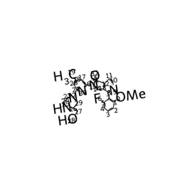 COc1cccc(F)c1-c1nccc2c1CN(c1cc(C)cc(N3CCNC(CO)C3)n1)C2=O